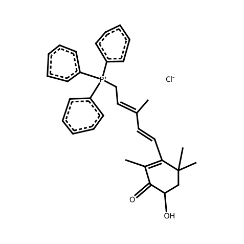 CC1=C(/C=C/C(C)=C/C[P+](c2ccccc2)(c2ccccc2)c2ccccc2)C(C)(C)CC(O)C1=O.[Cl-]